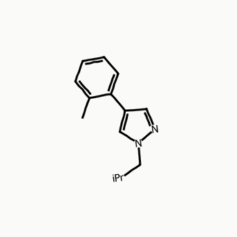 Cc1ccccc1-c1cnn(CC(C)C)c1